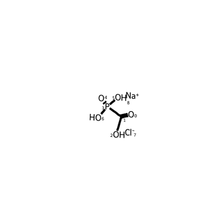 O=C(O)P(=O)(O)O.[Cl-].[Na+]